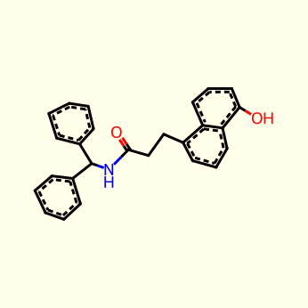 O=C(CCc1cccc2c(O)cccc12)NC(c1ccccc1)c1ccccc1